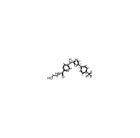 O=C(NCCO)c1ccc(Nc2ncc(-c3ccc(C(F)(F)F)cc3)o2)cn1